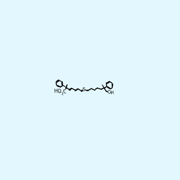 CC(CO)(CCCCCSCCCCCC(C)(C(=O)O)c1ccccc1)c1ccccc1